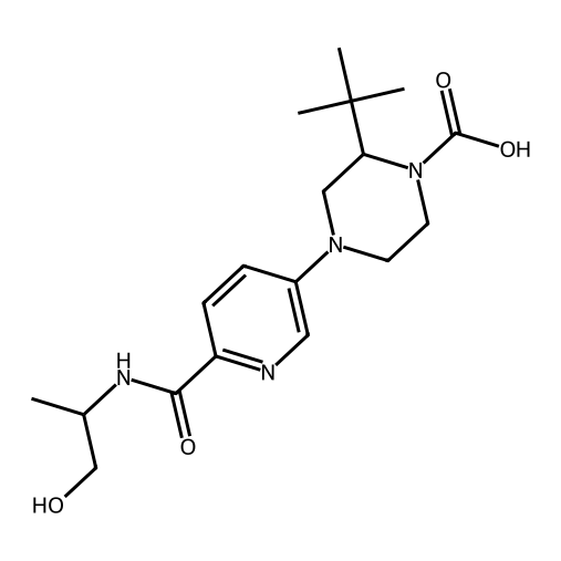 CC(CO)NC(=O)c1ccc(N2CCN(C(=O)O)C(C(C)(C)C)C2)cn1